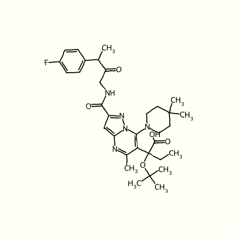 CCC(OC(C)(C)C)(C(=O)O)c1c(C)nc2cc(C(=O)NCC(=O)C(C)c3ccc(F)cc3)nn2c1N1CCC(C)(C)CC1